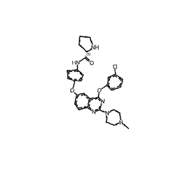 CN1CCN(c2nc(Oc3cccc(Cl)c3)c3cc(Oc4ccc(NC(=O)[C@@H]5CCCN5)cc4)ccc3n2)CC1